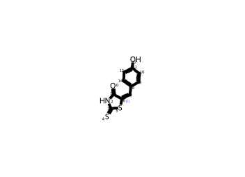 O=C1NC(=S)S/C1=C/c1ccc(O)cc1